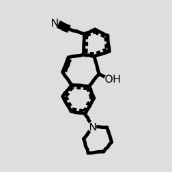 N#Cc1cccc2c1C=Cc1ccc(N3CCCCC3)cc1C2O